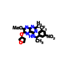 COc1nc2nc(C)nc(N[C@H](C)c3cc([N+](=O)[O-])cc(C(F)(F)F)c3)c2nc1O[C@H]1CCOC1